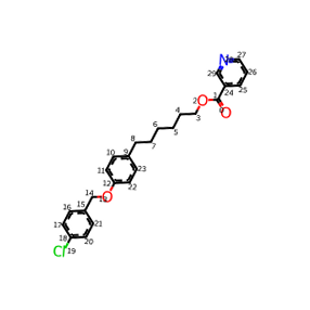 O=C(OCCCCCCc1ccc(OCc2ccc(Cl)cc2)cc1)c1cccnc1